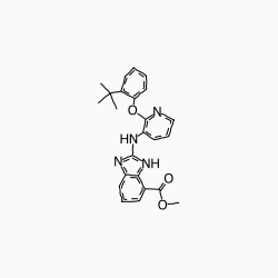 COC(=O)c1cccc2nc(Nc3cccnc3Oc3ccccc3C(C)(C)C)[nH]c12